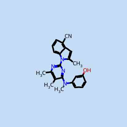 Cc1nc(-n2c(C)cc3c(C#N)cccc32)nc(N(C)c2cccc(O)c2)c1C